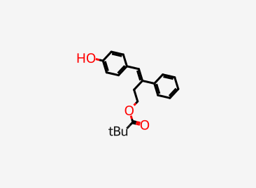 CC(C)(C)C(=O)OCC/C(=C\c1ccc(O)cc1)c1ccccc1